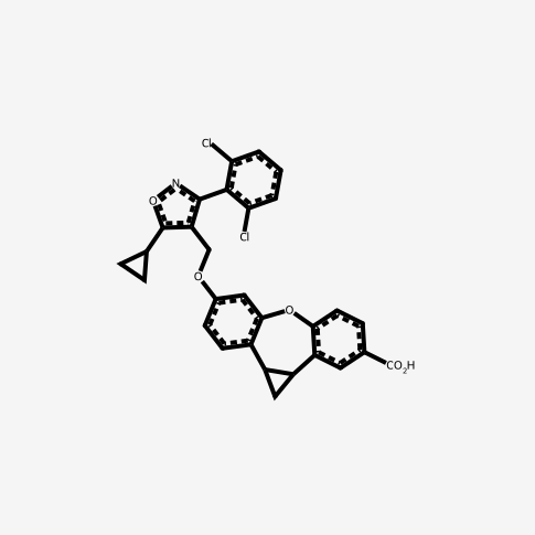 O=C(O)c1ccc2c(c1)C1CC1c1ccc(OCc3c(-c4c(Cl)cccc4Cl)noc3C3CC3)cc1O2